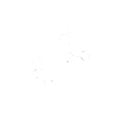 Cc1cc2nc3c(-c4ccccc4)ccc(N(C)C)c3nc2cc1N.Cc1cc2nc3c(-c4ccccc4)ccc(N(C)C)c3nc2cc1N.O=S(=O)(O)O